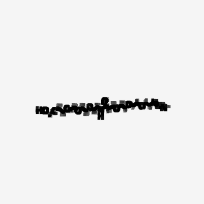 [N-]=[N+]=NCCOCCOCCOCCC(=O)NCCOCCOCCOCCC(=O)O